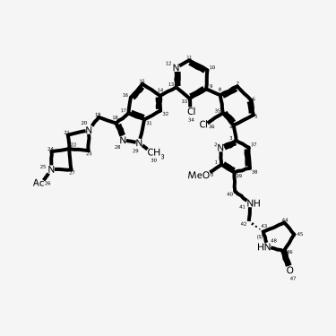 COc1nc(-c2cccc(-c3ccnc(-c4ccc5c(CN6CC7(C6)CN(C(C)=O)C7)nn(C)c5c4)c3Cl)c2Cl)ccc1CNC[C@@H]1CCC(=O)N1